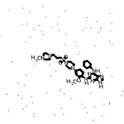 COc1cc(N2CCN(S(=O)(=O)CCCN3CCN(C)CC3)CC2)ccc1Nc1nc(NC2CCCCC2)c2nc[nH]c2n1